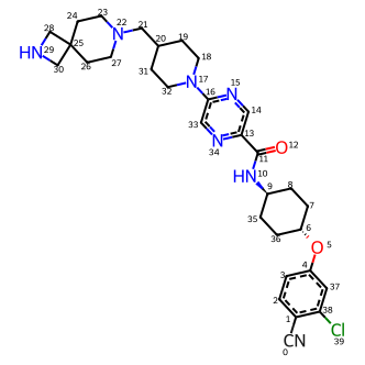 N#Cc1ccc(O[C@H]2CC[C@H](NC(=O)c3cnc(N4CCC(CN5CCC6(CC5)CNC6)CC4)cn3)CC2)cc1Cl